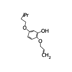 C=CCOc1ccc(OCCC(C)C)cc1O